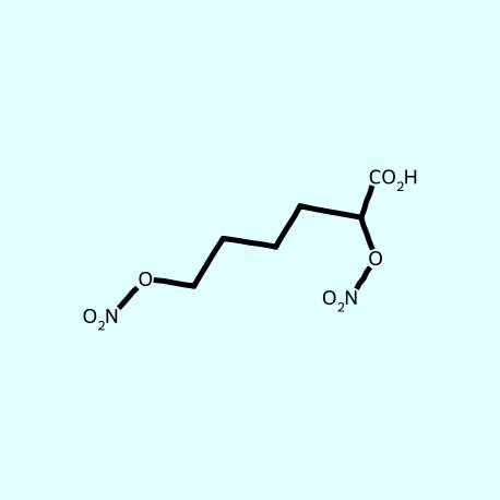 O=C(O)C(CCCCO[N+](=O)[O-])O[N+](=O)[O-]